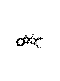 CCNC(=N)Nc1nc2ccccc2[nH]1